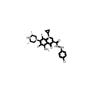 C[C@@H]1CN(c2c(F)c(N)c3c(=O)c(C(=O)NNc4ccc(Cl)cc4)cn(C4CC4)c3c2F)C[C@H](C)N1